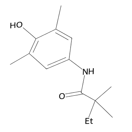 CCC(C)(C)C(=O)Nc1cc(C)c(O)c(C)c1